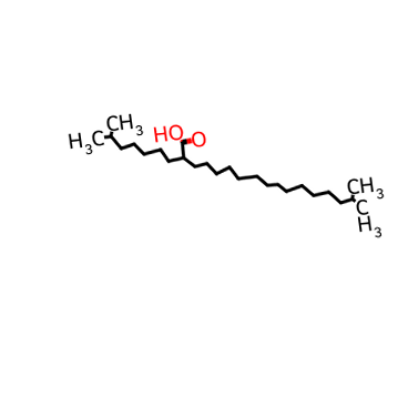 CC(C)CCCCCCCCCCCCCC(CCCCCC(C)C)C(=O)O